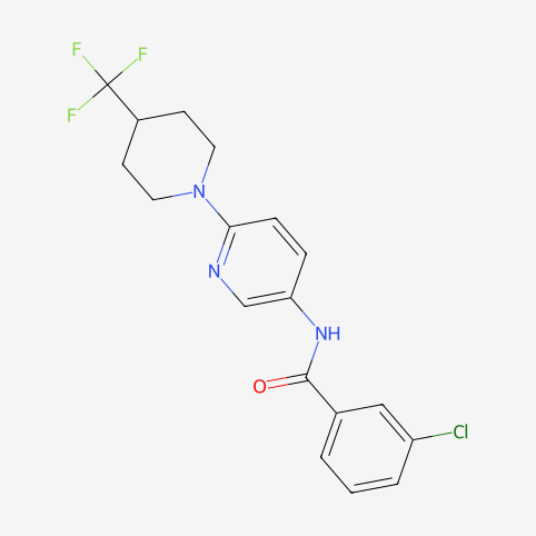 O=C(Nc1ccc(N2CCC(C(F)(F)F)CC2)nc1)c1cccc(Cl)c1